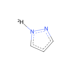 [2H]n1cccn1